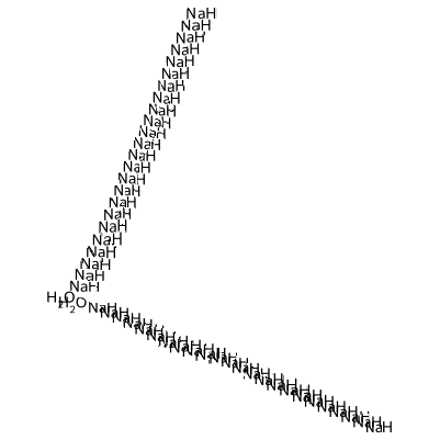 O.O.[NaH].[NaH].[NaH].[NaH].[NaH].[NaH].[NaH].[NaH].[NaH].[NaH].[NaH].[NaH].[NaH].[NaH].[NaH].[NaH].[NaH].[NaH].[NaH].[NaH].[NaH].[NaH].[NaH].[NaH].[NaH].[NaH].[NaH].[NaH].[NaH].[NaH].[NaH].[NaH].[NaH].[NaH].[NaH].[NaH].[NaH].[NaH].[NaH].[NaH].[NaH].[NaH].[NaH].[NaH].[NaH].[NaH].[NaH].[NaH]